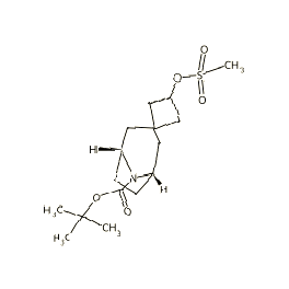 CC(C)(C)OC(=O)N1[C@@H]2CC[C@H]1CC1(CC(OS(C)(=O)=O)C1)C2